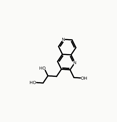 OCc1nc2ccncc2cc1CC(O)CO